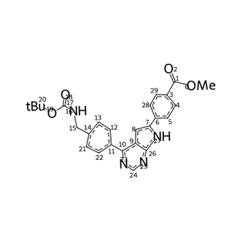 COC(=O)c1ccc(-c2cc3c(-c4ccc(CNC(=O)OC(C)(C)C)cc4)ncnc3[nH]2)cc1